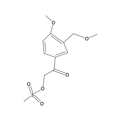 COCc1cc(C(=O)COS(C)(=O)=O)ccc1OC